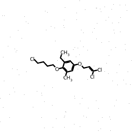 CCc1cc(OCC=C(Cl)Cl)cc(C)c1OCCCCCl